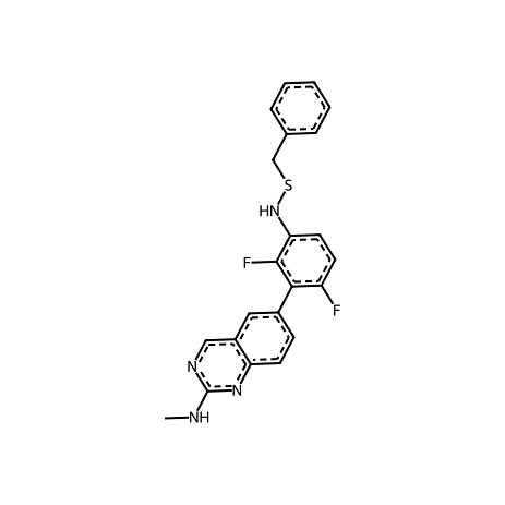 CNc1ncc2cc(-c3c(F)ccc(NSCc4ccccc4)c3F)ccc2n1